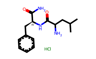 CC(C)CC(N)C(=O)N[C@@H](Cc1ccccc1)C(N)=O.Cl